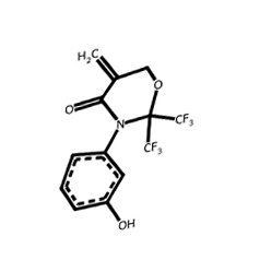 C=C1COC(C(F)(F)F)(C(F)(F)F)N(c2cccc(O)c2)C1=O